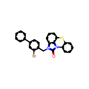 O=c1n(Cc2ccc(-c3ccccc3)cc2Br)c2cccc3c2n1-c1ccccc1S3